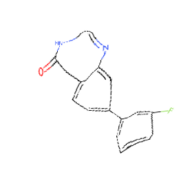 O=c1[nH]cnc2cc(-c3cccc(F)c3)ccc12